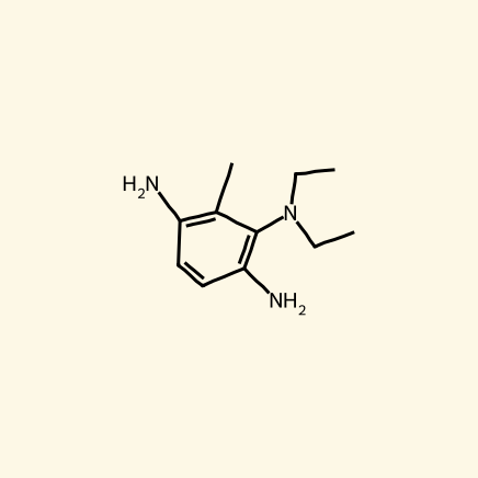 CCN(CC)c1c(N)ccc(N)c1C